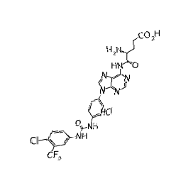 Cl.N[C@@H](CCC(=O)O)C(=O)Nc1ncnc2c1ncn2-c1ccc(NC(=O)Nc2ccc(Cl)c(C(F)(F)F)c2)cc1